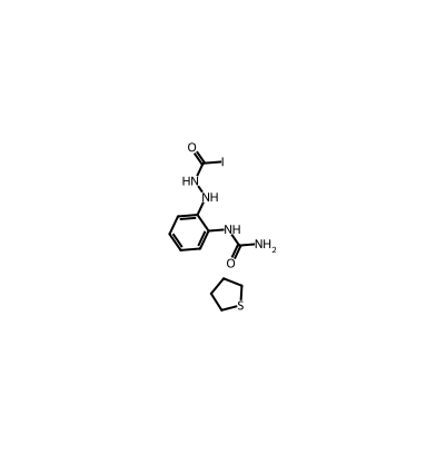 C1CCSC1.NC(=O)Nc1ccccc1NNC(=O)I